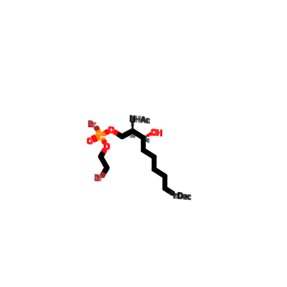 CCCCCCCCCCCCCCC[C@@H](O)[C@H](COP(=O)(Br)OCCBr)NC(C)=O